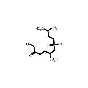 NOC(=O)CCC(CP(=O)(O)CCC(N)C(=O)O)C(=O)O